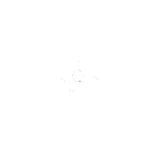 CC(C)N(C)Cc1cc(N)c(N2CCOCC2)cc1C=O